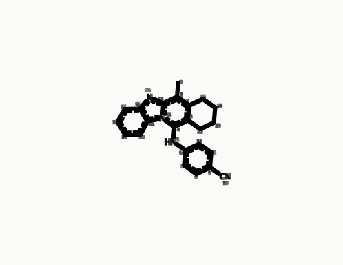 Cc1c2c(c(Nc3ccc(C#N)cc3)n3c1nc1ccccc13)CCCC2